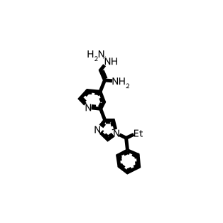 CCC(c1ccccc1)n1cnc(-c2cc(/C(N)=C/NN)ccn2)c1